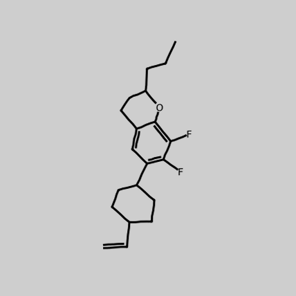 C=CC1CCC(c2cc3c(c(F)c2F)OC(CCC)CC3)CC1